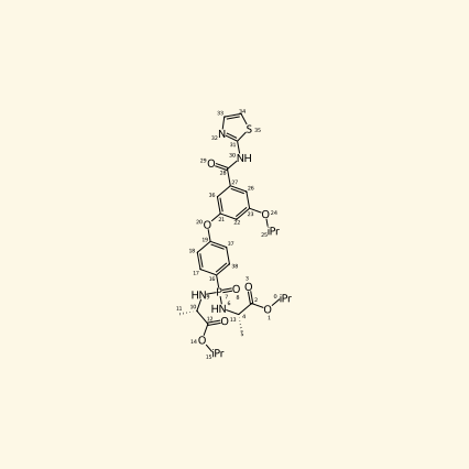 CC(C)OC(=O)[C@H](C)NP(=O)(N[C@@H](C)C(=O)OC(C)C)c1ccc(Oc2cc(OC(C)C)cc(C(=O)Nc3nccs3)c2)cc1